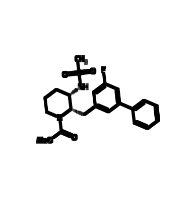 COC(=O)N1CCC[C@H](NS(C)(=O)=O)[C@@H]1Cc1cc(F)cc(-c2ccccc2)c1